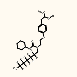 CCOC(Cc1ccc(OCCN(CC(F)(F)C(F)(F)C(F)(F)C(F)(F)C(F)(F)C(F)(F)F)C(=O)NC2CCCCC2)cc1)C(=O)O